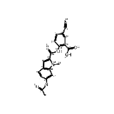 CC(=O)Nc1ccc2cc(C(=O)Nc3ccc(C#N)cc3C(=O)O)n(C)c2c1